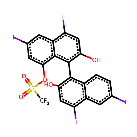 O=S(=O)(Oc1cc(I)cc2c(I)cc(O)c(-c3c(O)cc(I)c4cc(I)ccc34)c12)C(F)(F)F